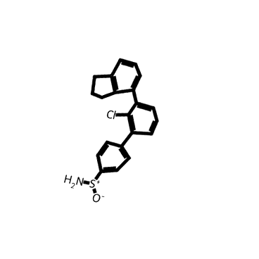 N[S+]([O-])c1ccc(-c2cccc(-c3cccc4c3CCC4)c2Cl)cc1